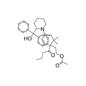 CCCC(=O)C1(CCOC(C)=O)C=CC(N2CCCCC2C(O)(c2ccccc2)c2ccccc2)=CC1(C)C